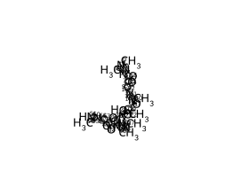 Cc1cn2cc(-c3cc4ccc(N5CCN(C(=O)CCC(C)(C)OC(=O)NCCOc6c(-c7cn8cc(C)nc(C)c8n7)c(=O)oc7cc(N8CCN[C@@H](C)C8)ccc67)[C@@H](C)C5)cc4oc3=O)nc2c(C)n1